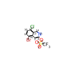 O=S(=O)(Oc1cc2c(Br)ccc(Cl)c2cn1)C(F)(F)F